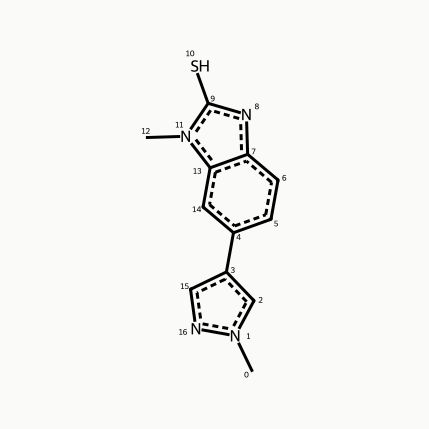 Cn1cc(-c2ccc3nc(S)n(C)c3c2)cn1